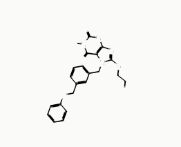 Cn1c(=O)c2c(nc(NCCO)n2Cc2cccc(COc3ccccc3)c2)n(C)c1=O